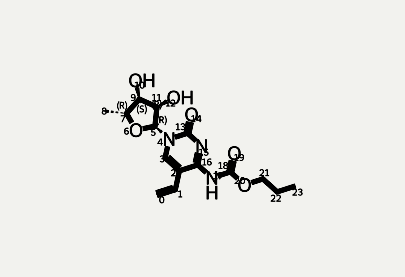 C=Cc1cn([C@@H]2O[C@H](C)[C@@H](O)[C@H]2O)c(=O)nc1NC(=O)OCCC